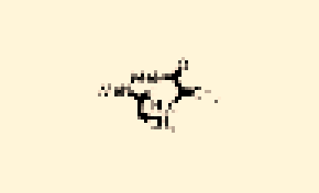 C=C(C)C(=O)NC.C=CC(=O)NC